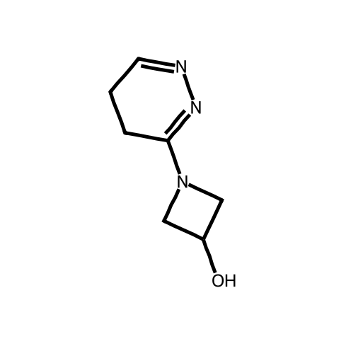 OC1CN(C2=NN=CCC2)C1